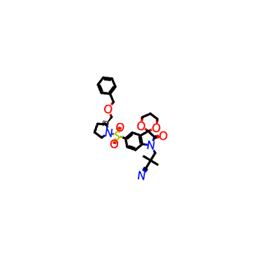 CC(C)(C#N)CN1C(=O)C2(OCCCO2)c2cc(S(=O)(=O)N3CCC[C@H]3COCc3ccccc3)ccc21